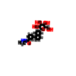 CNC(=O)c1cccc(-c2cccc3cc([C@H]4O[C@H](CO)[C@@H](O)[C@H](O)[C@@H]4O)ccc23)c1